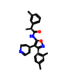 Cc1cccc(C(C)C(=O)Nc2onc(-c3ccc(C)cc3C)c2-c2ccncc2)c1